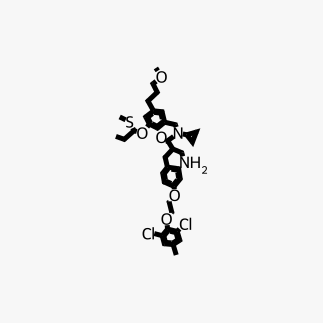 CCC(Oc1cc(CCCOC)cc(CN(C(=O)C(CN)Cc2ccc(OCCOc3c(Cl)cc(C)cc3Cl)cc2)C2CC2)c1)SC